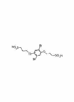 O=S(=O)(O)CCCOc1cc(Br)c(OCCCS(=O)(=O)O)cc1Br